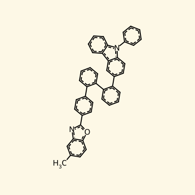 Cc1ccc2oc(-c3ccc(-c4ccccc4-c4ccccc4-c4ccc5c(c4)c4ccccc4n5-c4ccccc4)cc3)nc2c1